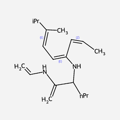 C=CNC(=C)C(CCC)NC(/C=C\C)=C/C=C(\C)C(C)C